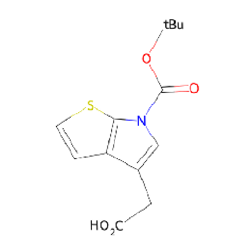 CC(C)(C)OC(=O)n1cc(CC(=O)O)c2ccsc21